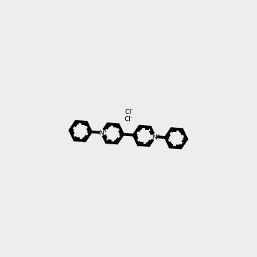 [Cl-].[Cl-].c1ccc(-[n+]2ccc(-c3cc[n+](-c4ccccc4)cc3)cc2)cc1